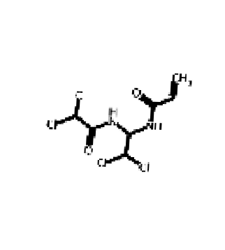 C=CC(=O)NC(NC(=O)C(Cl)Cl)C(Cl)Cl